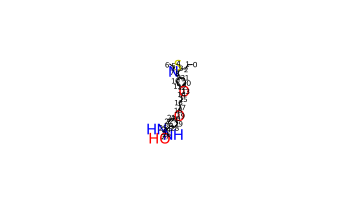 CCCc1sc(C)nc1-c1ccc(OCCCCCOc2ccc(C(=N)NO)cc2)cc1